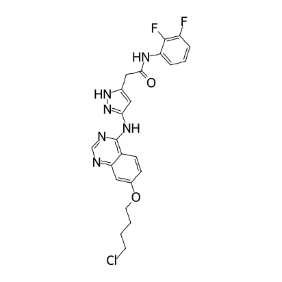 O=C(Cc1cc(Nc2ncnc3cc(OCCCCCl)ccc23)n[nH]1)Nc1cccc(F)c1F